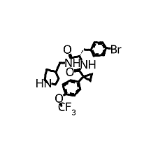 O=C(NCC1CCNCC1)[C@H](Cc1ccc(Br)cc1)NC(=O)C1(c2ccc(OC(F)(F)F)cc2)CC1